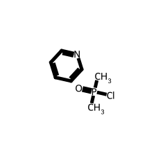 CP(C)(=O)Cl.c1ccncc1